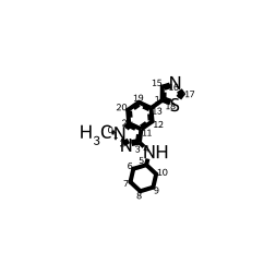 Cn1nc(NC2CCCCC2)c2cc(-c3cncs3)ccc21